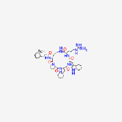 CC(=O)C[C@@H](Cc1ccccc1)C(=O)N[C@H]1CCCNC(=O)C(CCCNC(=N)N)NC(=O)C(Cc2c[nH]c3ccccc23)NC(=O)[C@@H](CC2CCCCC2)NC(=O)C2CCCN2C1=O